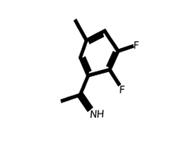 CC(=N)c1cc(C)cc(F)c1F